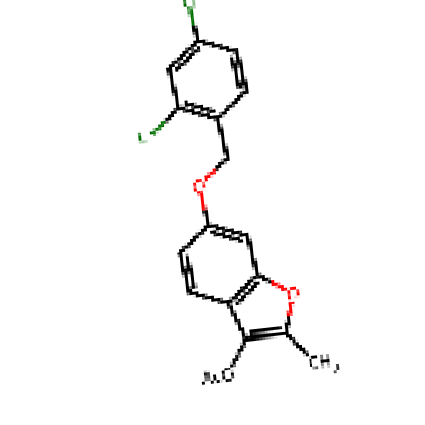 CC(=O)Oc1c(C)oc2cc(OCc3ccc(Cl)cc3Cl)ccc12